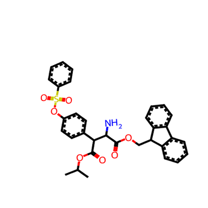 CC(C)OC(=O)C(c1ccc(OS(=O)(=O)c2ccccc2)cc1)C(N)C(=O)OCC1c2ccccc2-c2ccccc21